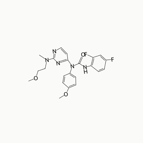 COCCN(C)c1nccc(N(C(=O)Nc2ccc(F)cc2F)c2ccc(OC)cc2)n1